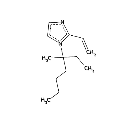 C=Cc1nccn1C(C)(CC)CCCC